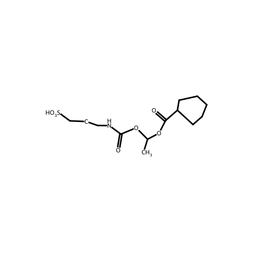 CC(OC(=O)NCCCS(=O)(=O)O)OC(=O)C1CCCCC1